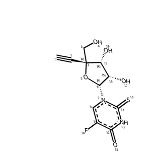 C#C[C@]1(CO)O[C@@H](n2cc(F)c(=O)[nH]c2=S)[C@@H](O)[C@H]1O